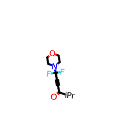 CC(C)C(=O)C#CC(F)(F)N1CCOCC1